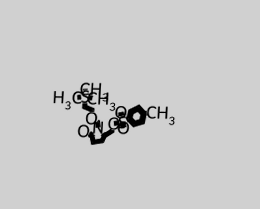 Cc1ccc(S(=O)(=O)OCC2CCC(=O)N2COCCS(C)(C)C)cc1